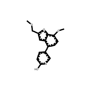 COCc1cc2c(-c3ccc(O)nc3)ccc(OC)c2o1